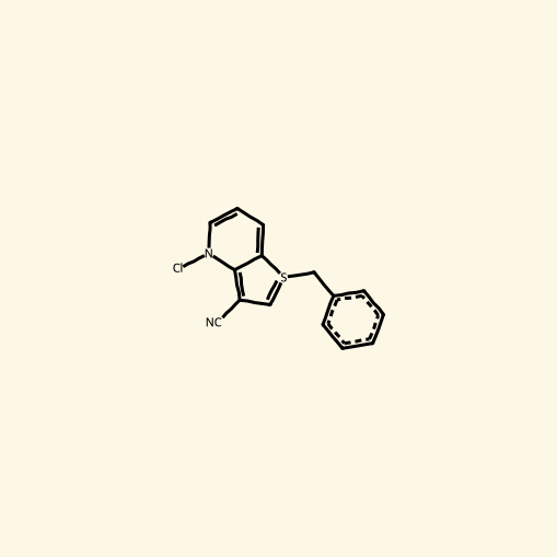 N#CC1=C2C(=CC=CN2Cl)S(Cc2ccccc2)=C1